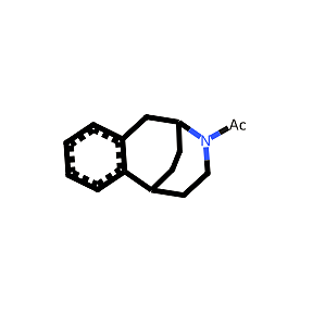 CC(=O)N1CCC2CCC1Cc1ccccc12